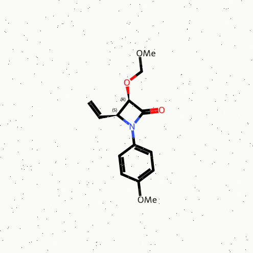 C=C[C@H]1[C@@H](OCOC)C(=O)N1c1ccc(OC)cc1